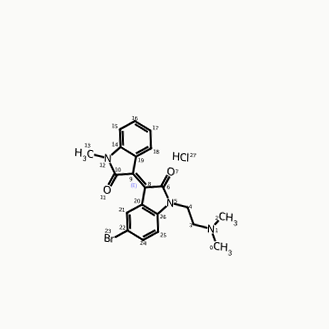 CN(C)CCN1C(=O)/C(=C2/C(=O)N(C)c3ccccc32)c2cc(Br)ccc21.Cl